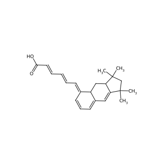 CC1(C)CC(C)(C)C2CC3C(=CC=CC=CC(=O)O)C=CC=C3C=C21